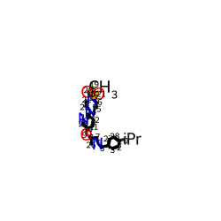 CC(C)c1ccc(CN2CC(Oc3ccc(N4CCN(S(C)(=O)=O)CC4)nc3)C2)cc1